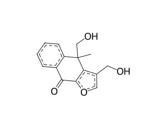 CC1(CO)c2ccccc2C(=O)c2occ(CO)c21